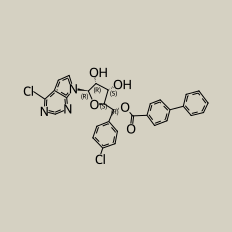 O=C(O[C@H](c1ccc(Cl)cc1)[C@H]1O[C@@H](n2ccc3c(Cl)ncnc32)[C@H](O)[C@@H]1O)c1ccc(-c2ccccc2)cc1